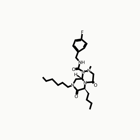 CCCCCCN1C[C@H]2N(C(=O)CN(C)N2C(=O)NCc2ccc(F)cc2)[C@@H](CCCC)C1=O